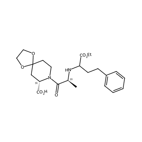 CCOC(=O)C(CCc1ccccc1)N[C@@H](C)C(=O)N1CCC2(C[C@H]1C(=O)O)OCCO2